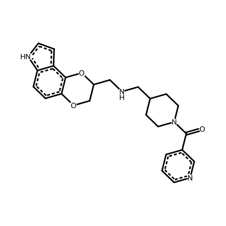 O=C(c1cccnc1)N1CCC(CNCC2COc3ccc4[nH]ccc4c3O2)CC1